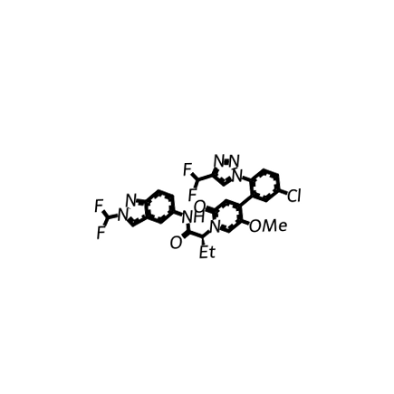 CC[C@@H](C(=O)Nc1ccc2nn(C(F)F)cc2c1)n1cc(OC)c(-c2cc(Cl)ccc2-n2cc(C(F)F)nn2)cc1=O